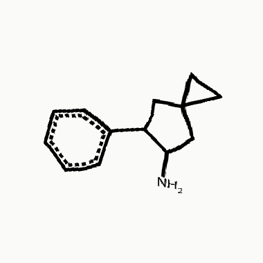 NC1CC2(CC2)CC1c1ccccc1